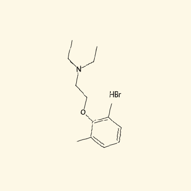 Br.CCN(CC)CCOc1c(C)cccc1C